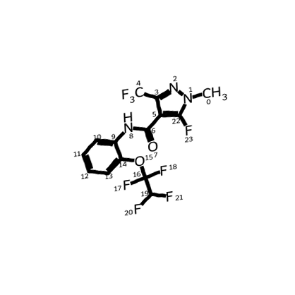 Cn1nc(C(F)(F)F)c(C(=O)Nc2ccccc2OC(F)(F)C(F)F)c1F